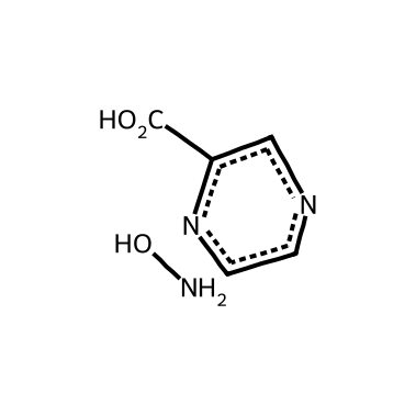 NO.O=C(O)c1cnccn1